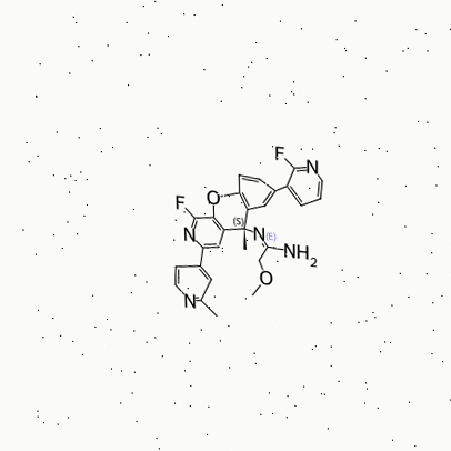 COC/C(N)=N\[C@@]1(C)c2cc(-c3cccnc3F)ccc2Oc2c1cc(-c1ccnc(C)c1)nc2F